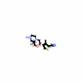 Cc1c([C@H]2CN3CCNC[C@H]3CO2)csc1C#N